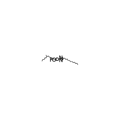 CCCCCCCCCCCCc1cnc(-c2ccc(OCC(F)CCCC(C)CCCCC)cc2)nc1